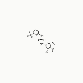 COc1cc(C(=O)NC(=S)Nc2cccc(C(F)(F)F)c2)cc(OC)c1OC